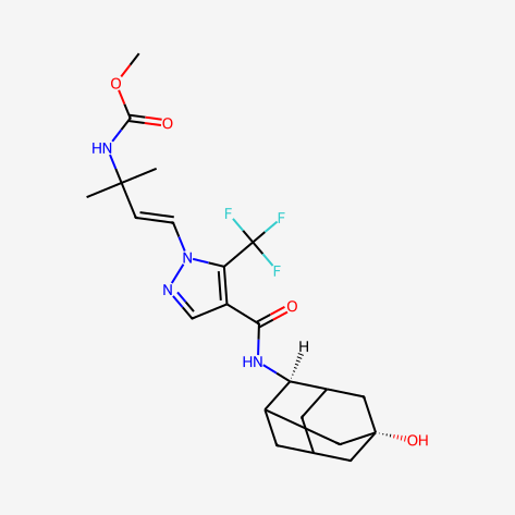 COC(=O)NC(C)(C)/C=C/n1ncc(C(=O)N[C@H]2C3CC4CC2C[C@](O)(C4)C3)c1C(F)(F)F